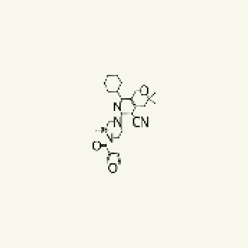 C[C@@H]1CN(c2nc(C3CCCCC3)c3c(c2C#N)CC(C)(C)OC3)CCN1C(=O)c1ccoc1